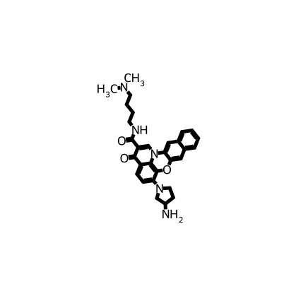 CN(C)CCCCNC(=O)c1cn2c3c(c(N4CCC(N)C4)ccc3c1=O)Oc1cc3ccccc3cc1-2